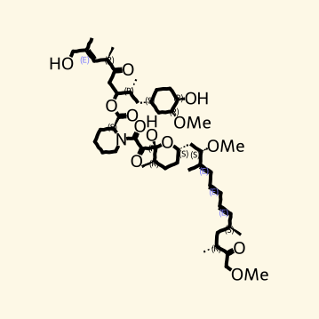 COCC(=O)[C@H](C)C[C@H](C)/C=C/C=C/C=C(\C)[C@H](C[C@@H]1CC[C@@H](C)[C@](O)(C(=O)C(=O)N2CCCC[C@H]2C(=O)OC(CC(=O)[C@H](C)/C=C(\C)CO)[C@H](C)C[C@@H]2CC[C@@H](O)[C@H](OC)C2)O1)OC